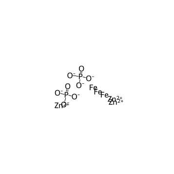 O=P([O-])([O-])[O-].O=P([O-])([O-])[O-].[Fe].[Fe].[Fe].[Zn+2].[Zn+2].[Zn+2]